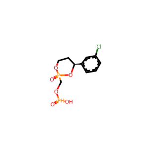 O=[PH](O)OCP1(=O)OCC[C@@H](c2cccc(Cl)c2)O1